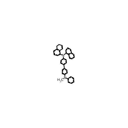 CN(c1ccccc1)c1ccc(-c2ccc(N(c3cccc4c3C=CCC4)c3cccc4ccccc34)cc2)cc1